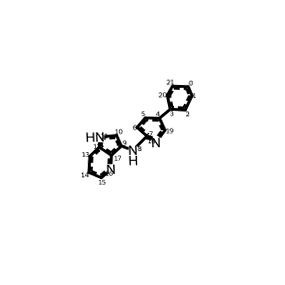 c1ccc(-c2ccc(Nc3c[nH]c4cccnc34)nc2)cc1